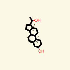 CC(O)C1=CCC2C3CC=C4C[C@@H](O)CC[C@]4(C)C3CC[C@]12C